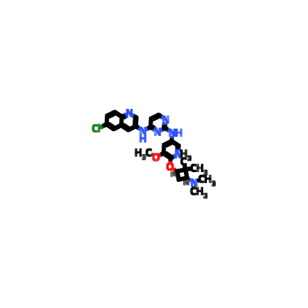 COc1cc(Nc2nccc(Nc3cnc4ccc(Cl)cc4c3)n2)cnc1O[C@@H]1C[C@H](N(C)C)C1(C)C